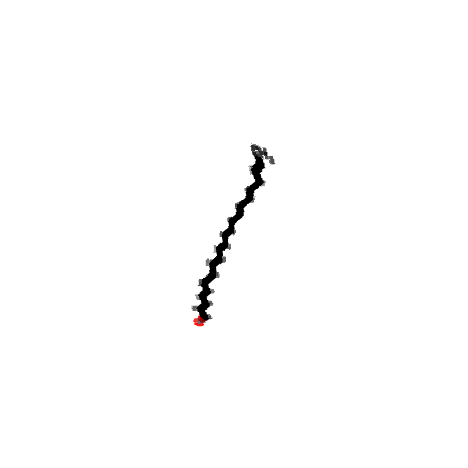 CCCCCCCCCCCCCCCCCCCCCC=O